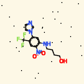 O=[N+]([O-])c1cc(C(F)(F)F)c(-n2ccnc2)cc1NCCCCO